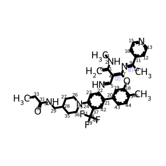 C=C(NC)/C(C=N)=C(\N=C(/C)c1ccncc1)Oc1cc(-c2ccc(N3CCC(CNC(=O)CC)CC3)c(C(F)(F)F)c2)ccc1C